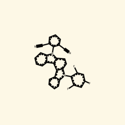 N#Cc1cccc(C#N)c1-n1c2ccccc2c2c3c4ccccc4n(-c4c(F)cc(F)cc4F)c3ccc21